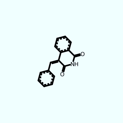 O=C1NC(=O)c2ccccc2C1=Cc1ccccc1